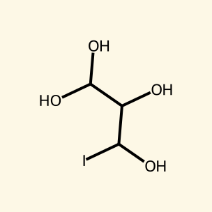 OC(O)C(O)C(O)I